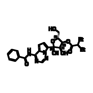 CCC(CC)C(=O)O[C@H]1[C@@H](O)[C@](C#N)(c2ccc3c(NC(=O)c4ccccc4)ncnn23)O[C@@H]1CO